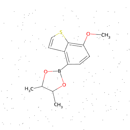 COc1ccc(B2OC(C)C(C)O2)c2ccsc12